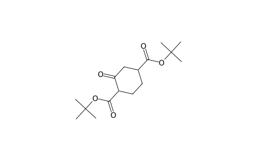 CC(C)(C)OC(=O)C1CCC(C(=O)OC(C)(C)C)C(=O)C1